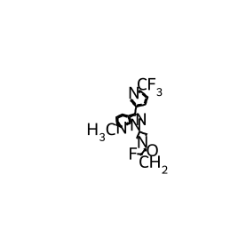 C=C(F)C(=O)N1CC(n2nc(-c3ccc(C(F)(F)F)nc3)c3ccc(C)nc32)C1